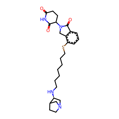 O=C1CCC(N2Cc3c(SCCCCCCCN[C@H]4CN5CCC4C5)cccc3C2=O)C(=O)N1